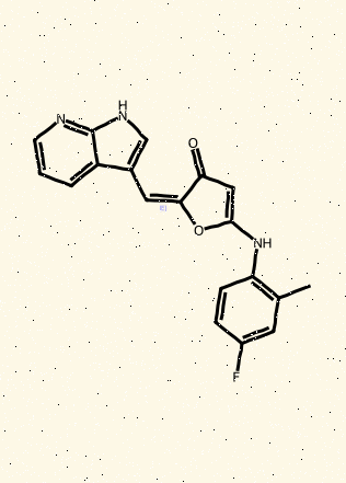 Cc1cc(F)ccc1NC1=CC(=O)/C(=C\c2c[nH]c3ncccc23)O1